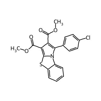 COC(=O)c1c(C(=O)OC)c2sc3ccccc3n2c1-c1ccc(Cl)cc1